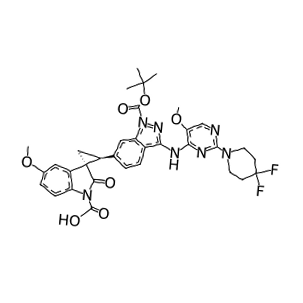 COc1ccc2c(c1)[C@]1(C[C@H]1c1ccc3c(Nc4nc(N5CCC(F)(F)CC5)ncc4OC)nn(C(=O)OC(C)(C)C)c3c1)C(=O)N2C(=O)O